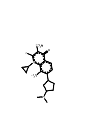 CN(C)C1CCC(c2ccc3c(=O)c(C(=O)O)c(F)n(C4CC4)c3c2N)C1